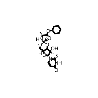 C[C@H](NP1(=O)OC[C@H]2O[C@@H](n3ccc(=O)[nH]c3=S)[C@](C)(O)C2O1)C(=O)OC1CCCCC1